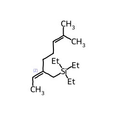 C/C=C(/CCC=C(C)C)C[Si](CC)(CC)CC